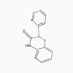 O=C1Nc2ccccc2OC1c1ccccn1